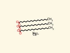 CCCCCCCCCCCCCCCCCC(=O)[O-].CCCCCCCCCCCCCCCCCC(=O)[O-].CCCCCCCCCCCCCCCCCC(=O)[O-].[Ca+2].[Na+]